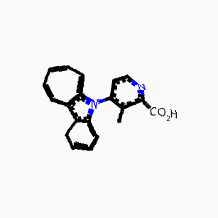 Cc1c(-n2c3c(c4c2=CC=CC4)C=CC=CC=3)ccnc1C(=O)O